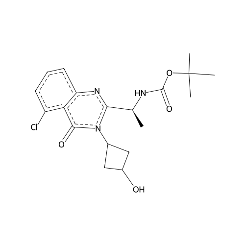 C[C@H](NC(=O)OC(C)(C)C)c1nc2cccc(Cl)c2c(=O)n1C1CC(O)C1